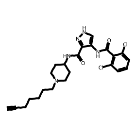 C#CCCCCCN1CCC(NC(=O)c2n[nH]cc2NC(=O)c2c(Cl)cccc2Cl)CC1